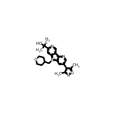 Cc1noc(C)c1-c1cnc2c3cnc(C(C)(C)O)cc3n(CC3CCOCC3)c2c1